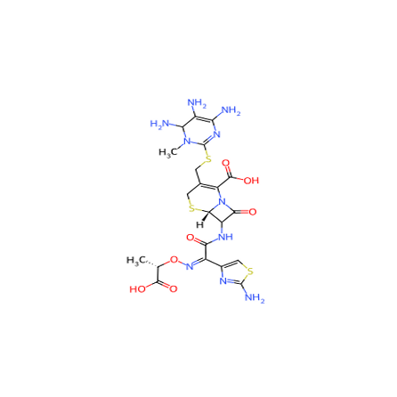 C[C@H](O/N=C(\C(=O)NC1C(=O)N2C(C(=O)O)=C(CSC3=NC(N)=C(N)C(N)N3C)CS[C@@H]12)c1csc(N)n1)C(=O)O